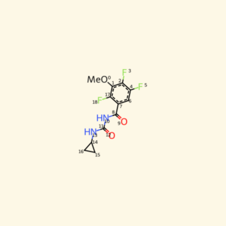 COc1c(F)c(F)cc(C(=O)NC(=O)NC2CC2)c1F